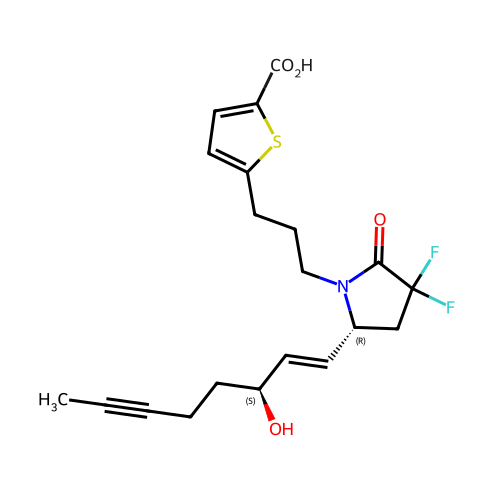 CC#CCC[C@H](O)C=C[C@H]1CC(F)(F)C(=O)N1CCCc1ccc(C(=O)O)s1